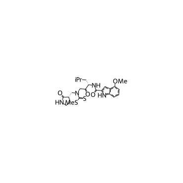 COc1cccc2[nH]c(C(=O)N[C@@H](CC(C)C)C(=O)CN(C[C@@H]3CCNC3=O)C(=S)SC)cc12